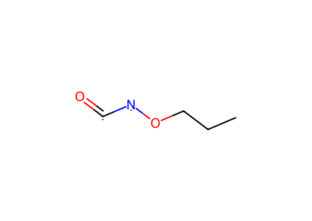 CCCO[N][C]=O